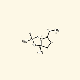 CC(C)(C)[Si](C)(C)OC1(C#N)CCC(CO)O1